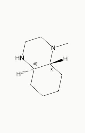 CN1CCN[C@@H]2CCCC[C@H]21